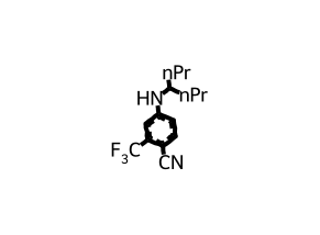 CCCC(CCC)Nc1ccc(C#N)c(C(F)(F)F)c1